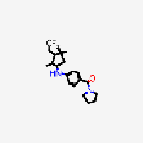 CC1C(Nc2ccc(C(=O)N3CCCC3)cc2)CC(C)(C)C1CC(F)(F)F